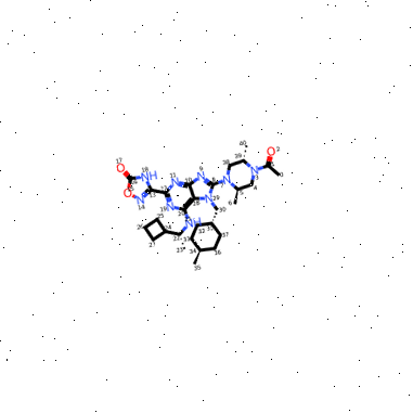 CC(=O)N1C[C@@H](C)N(c2nc3nc(-c4noc(=O)[nH]4)nc(N[C@H](C)C4CCC4)c3n2C[C@H]2CC[C@H](C)CC2)C[C@@H]1C